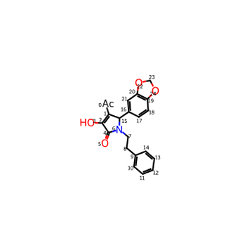 CC(=O)C1=C(O)C(=O)N(CCc2ccccc2)C1c1ccc2c(c1)OCO2